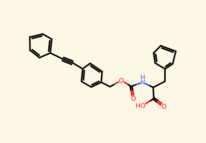 O=C(NC(Cc1ccccc1)C(=O)O)OCc1ccc(C#Cc2ccccc2)cc1